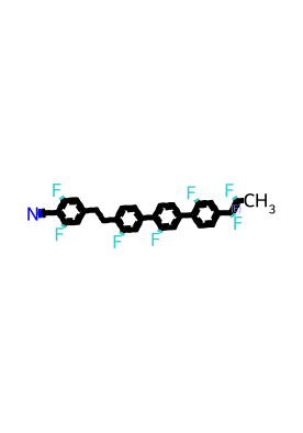 C/C(F)=C(\F)c1ccc(-c2ccc(-c3ccc(CCc4cc(F)c(C#N)c(F)c4)c(F)c3)c(F)c2)c(F)c1